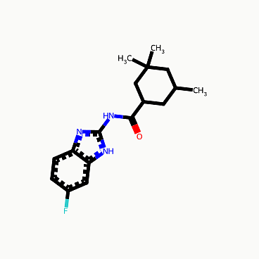 CC1CC(C(=O)Nc2nc3ccc(F)cc3[nH]2)CC(C)(C)C1